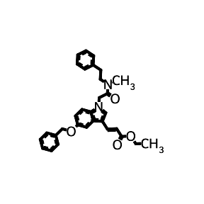 CCOC(=O)C=Cc1cn(CC(=O)N(C)CCc2ccccc2)c2ccc(OCc3ccccc3)cc12